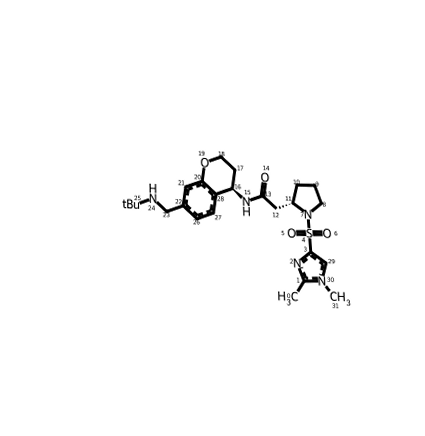 Cc1nc(S(=O)(=O)N2CCC[C@H]2CC(=O)N[C@@H]2CCOc3cc(CNC(C)(C)C)ccc32)cn1C